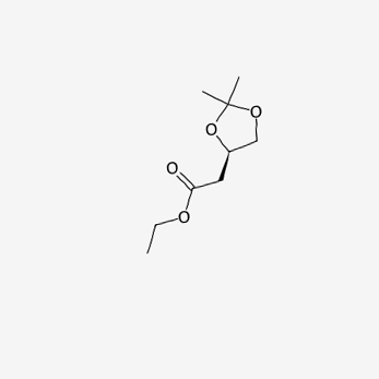 CCOC(=O)C[C@@H]1COC(C)(C)O1